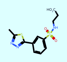 Cc1nnc(-c2cccc(S(=O)(=O)NCCC(=O)O)c2)s1